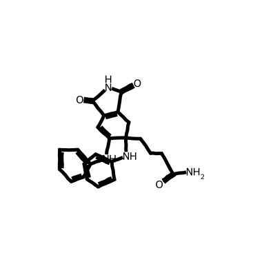 NC(=O)CCCC1(Nc2ccccc2)CC2=C(C=C1Nc1ccccc1)C(=O)NC2=O